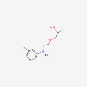 CCN(CCOCC(C)O)c1cccc(C)c1